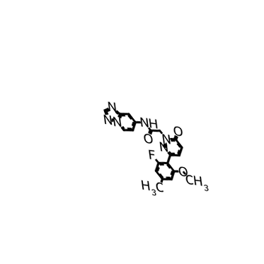 COc1cc(C)cc(F)c1-c1ccc(=O)n(CC(=O)Nc2ccn3ncnc3c2)n1